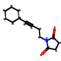 O=C1CCC(=O)N1CCC#CC1CCCCC1